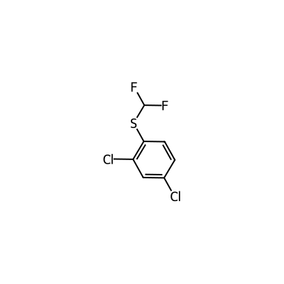 FC(F)Sc1ccc(Cl)cc1Cl